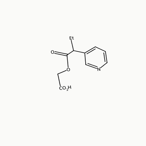 CCC(C(=O)OCC(=O)O)c1cccnc1